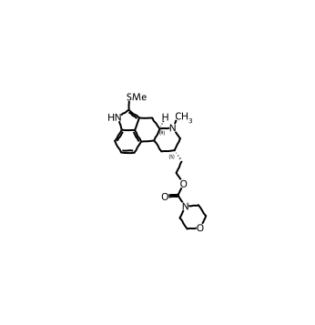 CSc1[nH]c2cccc3c2c1C[C@@H]1C3C[C@@H](CCOC(=O)N2CCOCC2)CN1C